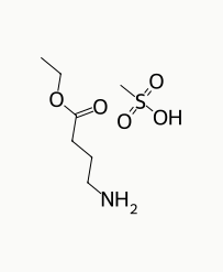 CCOC(=O)CCCN.CS(=O)(=O)O